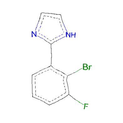 Fc1cccc(-c2ncc[nH]2)c1Br